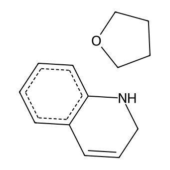 C1=Cc2ccccc2NC1.C1CCOC1